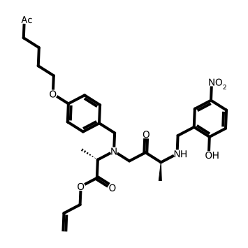 C=CCOC(=O)[C@H](C)N(CC(=O)[C@H](C)NCc1cc([N+](=O)[O-])ccc1O)Cc1ccc(OCCCCC(C)=O)cc1